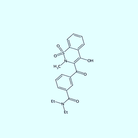 CCN(CC)C(=O)c1cccc(C(=O)C2=C(O)c3ccccc3S(=O)(=O)N2C)c1